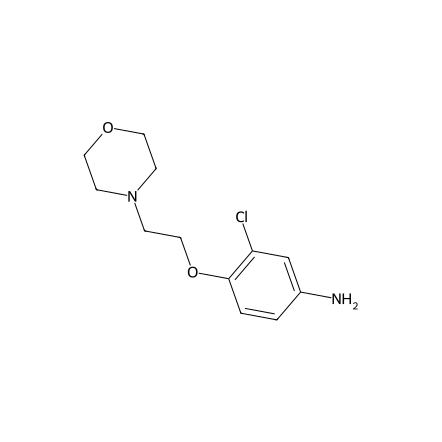 Nc1ccc(OCCN2CCOCC2)c(Cl)c1